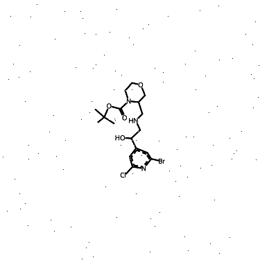 CC(C)(C)OC(=O)N1CCOCC1CNCC(O)c1cc(Cl)nc(Br)c1